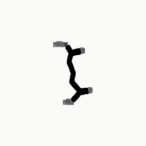 CCCCCCC(=O)CCCC(=O)CCCC